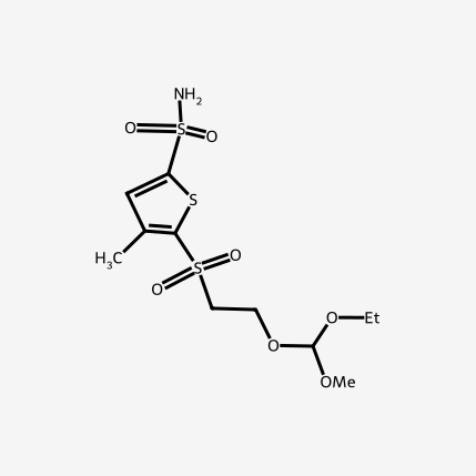 CCOC(OC)OCCS(=O)(=O)c1sc(S(N)(=O)=O)cc1C